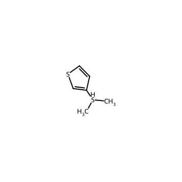 C[SH](C)c1ccsc1